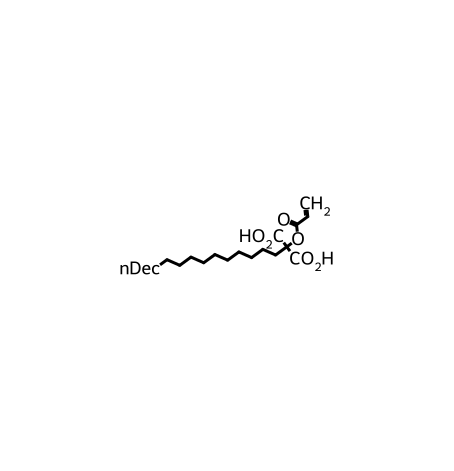 C=CC(=O)OC(CCCCCCCCCCCCCCCCCCCC)(C(=O)O)C(=O)O